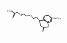 O=C(O)COCCOCCC1CC(=O)Oc2cc(O)ccc21